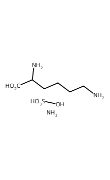 N.NCCCCC(N)C(=O)O.O=S(=O)(O)O